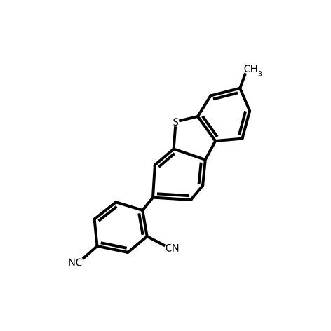 Cc1ccc2c(c1)sc1cc(-c3ccc(C#N)cc3C#N)ccc12